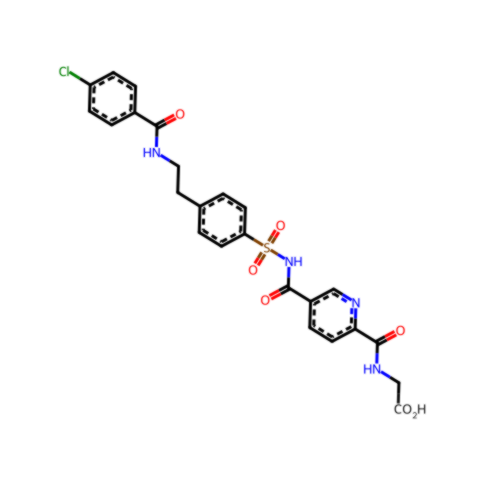 O=C(O)CNC(=O)c1ccc(C(=O)NS(=O)(=O)c2ccc(CCNC(=O)c3ccc(Cl)cc3)cc2)cn1